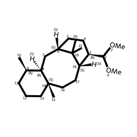 COC(OC)[C@@H]1CC[C@H]2C[C@@H]3[C@H](C)CCC[C@@]3(C)CC[C@@H]1C2(C)C